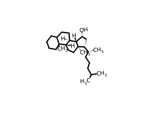 CC(C)CCC[C@@H](C)[C@H]1C[C@@H](O)[C@H]2[C@@H]3CCC4CCCC[C@]4(C)[C@H]3CC[C@@]21C